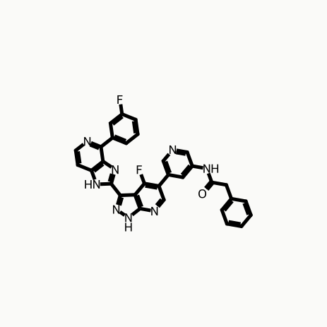 O=C(Cc1ccccc1)Nc1cncc(-c2cnc3[nH]nc(-c4nc5c(-c6cccc(F)c6)nccc5[nH]4)c3c2F)c1